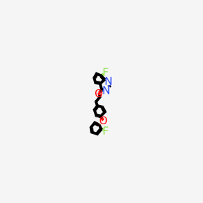 Fc1ccccc1Oc1ccc(CCOc2ncnc3c(F)cccc23)cc1